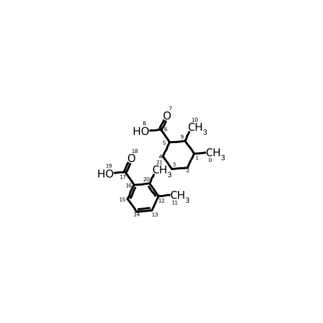 CC1CCCC(C(=O)O)C1C.Cc1cccc(C(=O)O)c1C